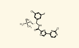 CC(C)(C)[Si](C)(C)OC[C@@H](NC(=O)c1nc(-c2ccnc(Cl)n2)co1)c1cc(F)cc(Cl)c1